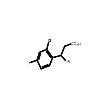 CCCC(CC(=O)OCC)c1ccc(Cl)cc1Cl